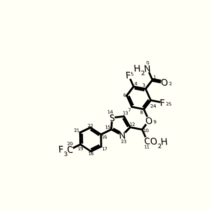 NC(=O)c1c(F)ccc(OC(C(=O)O)c2csc(-c3ccc(C(F)(F)F)cc3)n2)c1F